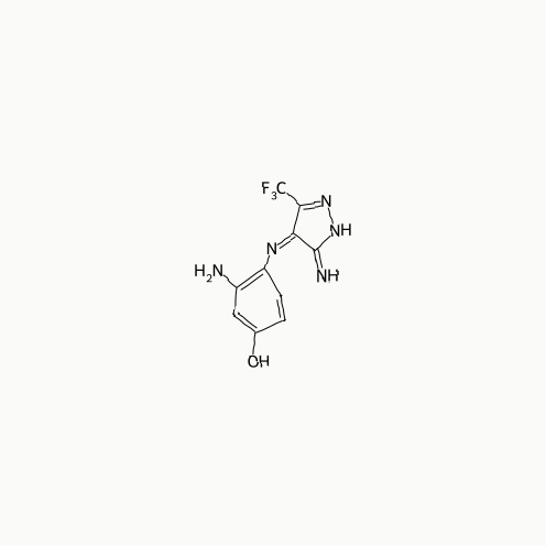 N=C1NN=C(C(F)(F)F)C1=Nc1ccc(O)cc1N